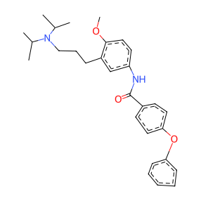 COc1ccc(NC(=O)c2ccc(Oc3ccccc3)cc2)cc1CCCN(C(C)C)C(C)C